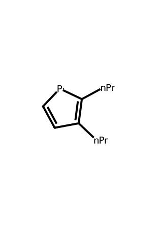 CCCC1=C(CCC)[P]C=C1